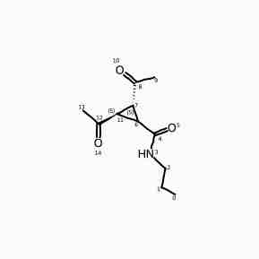 CCCNC(=O)C1[C@@H](C(C)=O)[C@@H]1C(C)=O